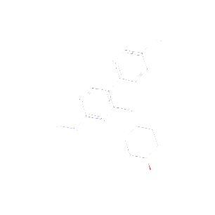 CCCCNc1ncc(-c2ccc(C=O)cn2)c(N[C@H]2CC[C@H](O)CC2)n1